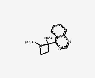 CNC1(c2ncnc3ccccc23)CCN1C(=O)O